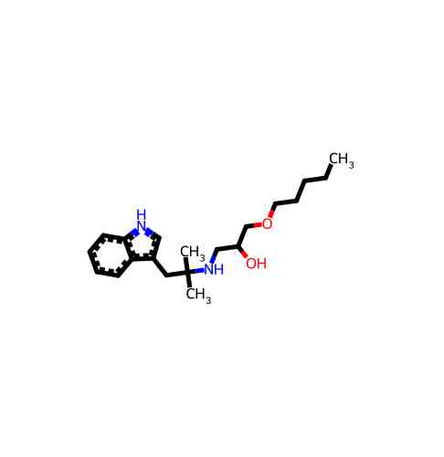 CCCCCOCC(O)CNC(C)(C)Cc1c[nH]c2ccccc12